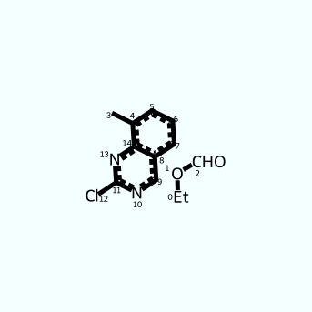 CCOC=O.Cc1cccc2cnc(Cl)nc12